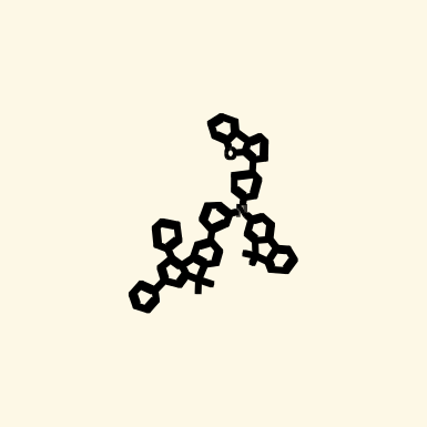 CC1(C)c2ccccc2-c2ccc(N(c3ccc(-c4cccc5c4oc4ccccc45)cc3)c3cccc(-c4ccc5c(c4)-c4c(-c6ccccc6)cc(-c6ccccc6)cc4C5(C)C)c3)cc21